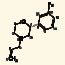 C=CCN1CCO[C@H](c2cccc(F)c2)C1